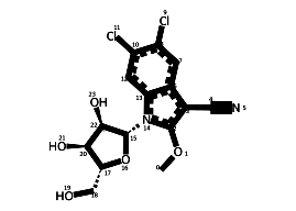 COc1c(C#N)c2cc(Cl)c(Cl)cc2n1[C@@H]1O[C@H](CO)[C@@H](O)[C@H]1O